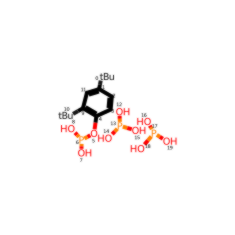 CC(C)(C)c1ccc(OP(O)O)c(C(C)(C)C)c1.OP(O)O.OP(O)O